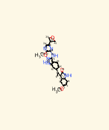 COc1ccc2c(c1)[C@]1(C[C@H]1c1ccc3c(Nc4nc(C5COC5)cnc4OC)n[nH]c3c1)C(=O)N2